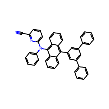 N#Cc1cccc(N(c2ccccc2)c2c3ccccc3c(-c3cc(-c4ccccc4)cc(-c4ccccc4)c3)c3ccccc23)n1